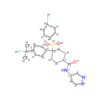 O=C(Nc1ccnnc1)C1CCC(c2ccc(C(F)(C(F)(F)F)C(F)(F)F)cc2)(S(=O)(=O)c2ccc(F)cc2)CC1